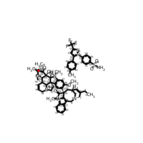 CCC1=C[C@@H]2C[N@](C1)Cc1c([nH]c3ccccc13)[C@@](C(=O)OC)(c1cc3c(cc1OC)N(C)[C@H]1[C@@](O)(C(=O)OC)[C@H](OC(C)=O)[C@]4(CC)C=CCN5CC[C@]31[C@@H]54)C2.Cc1ccc(-c2cc(C(F)(F)F)nn2-c2ccc(S(N)(=O)=O)cc2)cc1